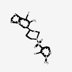 Cc1c(C2CCN(S(=O)(=O)c3cnn(C)c3Cl)CC2)cn2ncnc2c1F